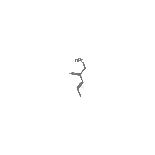 [CH]=C(/C=C/C)CCCC